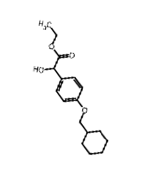 CCOC(=O)C(O)c1ccc(OCC2CCCCC2)cc1